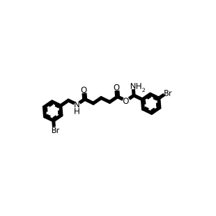 NC(OC(=O)CCCC(=O)NCc1cccc(Br)c1)c1cccc(Br)c1